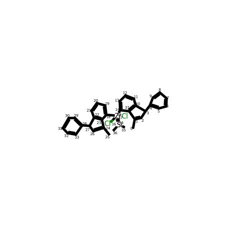 CC1=CC(c2ccccc2)c2ccc[c]([Zr]([Cl])([Cl])([c]3cccc4c3C(C)=CC4c3ccccc3)=[Si](C)C)c21